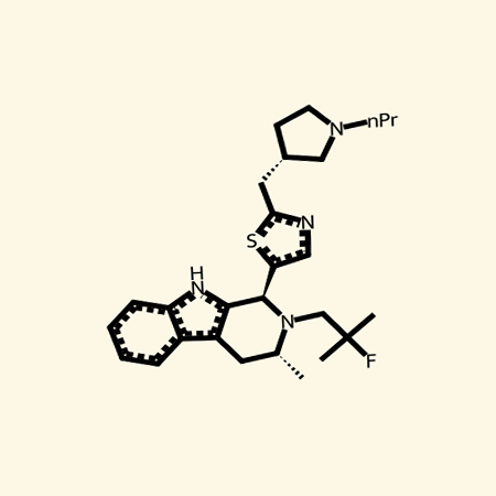 CCCN1CC[C@@H](Cc2ncc([C@@H]3c4[nH]c5ccccc5c4C[C@@H](C)N3CC(C)(C)F)s2)C1